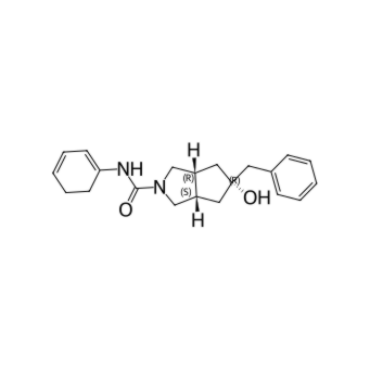 O=C(NC1=CC=CCC1)N1C[C@@H]2C[C@@](O)(Cc3ccccc3)C[C@@H]2C1